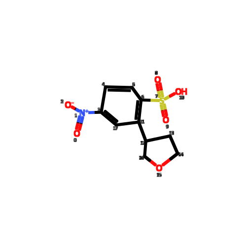 O=[N+]([O-])c1ccc(S(=O)(=O)O)c(C2CCOC2)c1